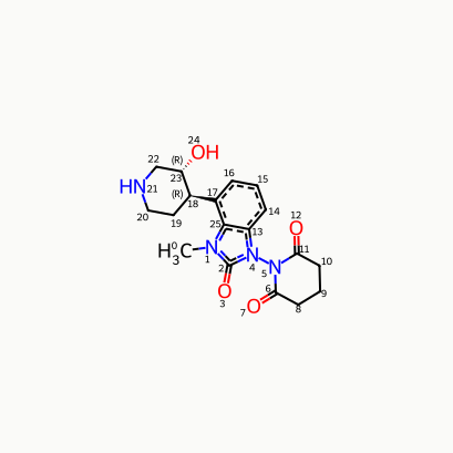 Cn1c(=O)n(N2C(=O)CCCC2=O)c2cccc([C@H]3CCNC[C@@H]3O)c21